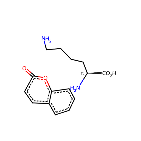 NCCCC[C@H](N)C(=O)O.O=c1ccc2ccccc2o1